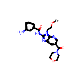 CCOCCn1c(NC(=O)c2cccc(N)c2)nc2cc(C(=O)N3CCOCC3)cnc21